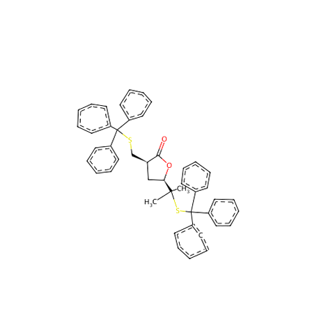 CC(C)(SC(c1ccccc1)(c1ccccc1)c1ccccc1)[C@H]1C[C@@H](CSC(c2ccccc2)(c2ccccc2)c2ccccc2)C(=O)O1